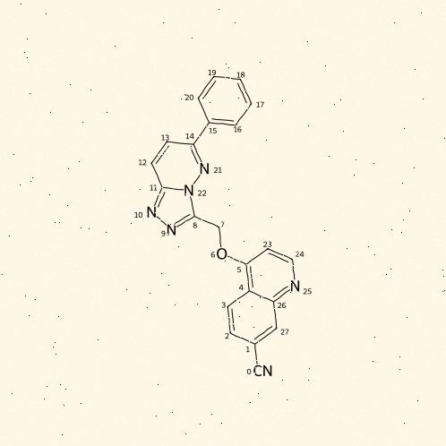 N#Cc1ccc2c(OCc3nnc4ccc(-c5ccccc5)nn34)ccnc2c1